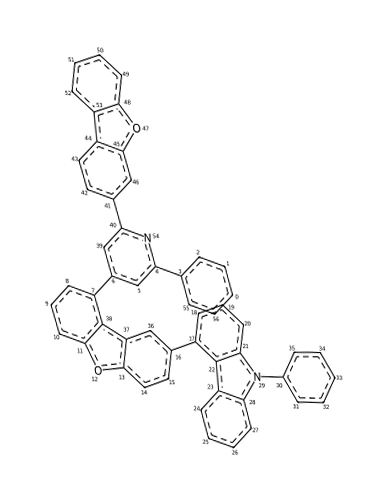 c1ccc(-c2cc(-c3cccc4oc5ccc(-c6cccc7c6c6ccccc6n7-c6ccccc6)cc5c34)cc(-c3ccc4c(c3)oc3ccccc34)n2)cc1